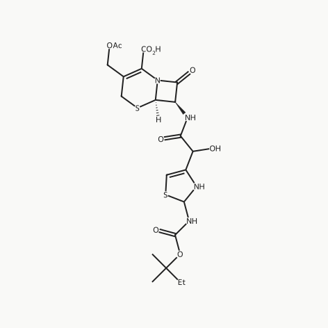 CCC(C)(C)OC(=O)NC1NC(C(O)C(=O)N[C@@H]2C(=O)N3C(C(=O)O)=C(COC(C)=O)CS[C@H]23)=CS1